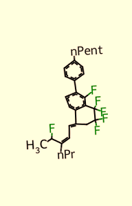 CCCCCc1ccc(-c2ccc3c(c2F)C(F)(F)C(F)(F)C/C3=C\C=C(\CCC)C(C)F)cc1